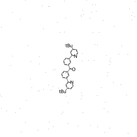 CC(C)(C)c1ccnc(-c2cccc(C(=O)c3cccc(-c4cc(C(C)(C)C)ccn4)c3)c2)c1